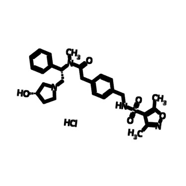 Cc1noc(C)c1S(=O)(=O)NCc1ccc(CC(=O)N(C)[C@H](CN2CC[C@H](O)C2)c2ccccc2)cc1.Cl